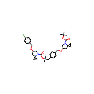 CC(C)(C)OC(=O)N1CC(OCc2ccc(CC(C)(C)OC(=O)N3CC(OCc4ccc(F)cc4)CC34C=C4)cc2)CC12C=C2